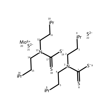 CC(C)CCN(CCC(C)C)C(=S)[S-].CC(C)CCN(CCC(C)C)C(=S)[S-].[Mo+6].[S-2].[S-2]